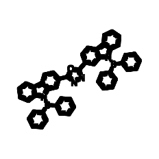 c1ccc(B(c2ccccc2)n2c3ccccc3c3ccc(-c4nnc(-c5ccc6c7ccccc7n(B(c7ccccc7)c7ccccc7)c6c5)o4)cc32)cc1